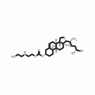 CC[C@H](CC[C@@H](C)[C@H]1CC[C@H]2[C@@H]3CC=C4C[C@@H](OC(=O)OCCNCCO)CC[C@]4(C)[C@H]3CC[C@]12C)C(C)C